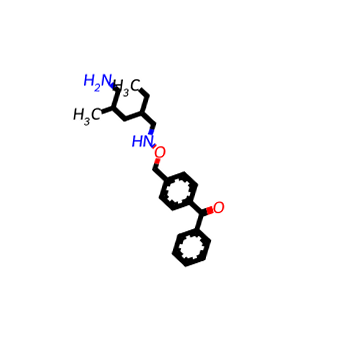 CCC(CNOCc1ccc(C(=O)c2ccccc2)cc1)CC(C)CN